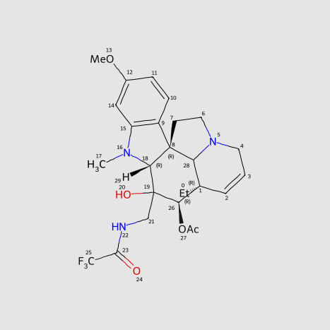 CC[C@]12C=CCN3CC[C@@]4(c5ccc(OC)cc5N(C)[C@H]4C(O)(CNC(=O)C(F)(F)F)[C@@H]1OC(C)=O)C32